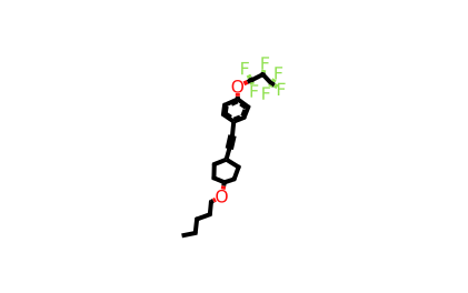 CCCCCOC1CCC(C#Cc2ccc(OC(F)(F)C(F)C(F)(F)F)cc2)CC1